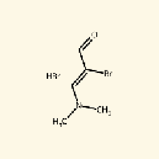 Br.CN(C)C=C(Br)C=O